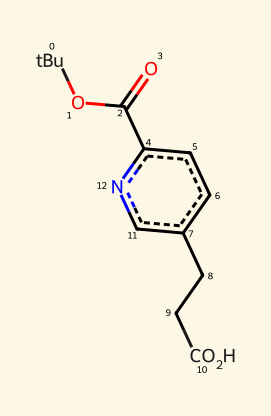 CC(C)(C)OC(=O)c1ccc(CCC(=O)O)cn1